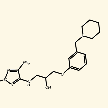 Nc1n[s+]([O-])nc1NCC(O)COc1cccc(CN2CCCCC2)c1